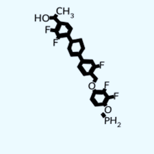 CC(O)c1ccc(C2CC=C(c3ccc(COc4ccc(OCP)c(F)c4F)c(F)c3)CC2)c(F)c1F